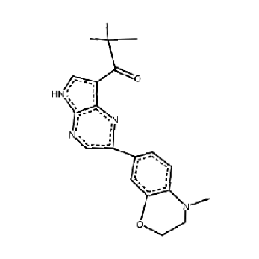 CN1CCOc2cc(-c3cnc4[nH]cc(C(=O)C(C)(C)C)c4n3)ccc21